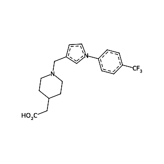 O=C(O)CC1CCN(Cc2ccn(-c3ccc(C(F)(F)F)cc3)c2)CC1